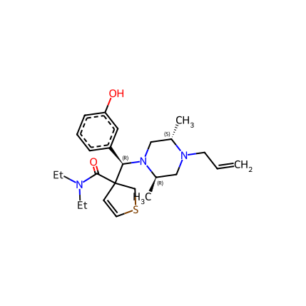 C=CCN1C[C@@H](C)N([C@H](c2cccc(O)c2)C2(C(=O)N(CC)CC)C=CSC2)C[C@@H]1C